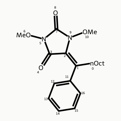 CCCCCCCCC(=C1C(=O)N(OC)C(=O)N1OC)c1ccccc1